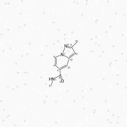 CNC(=O)c1ccn2nc(C)cc2c1